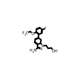 NC1=NN(CCCO)C2CC(c3cc(F)ccc3OCC(F)(F)F)=CC=C12